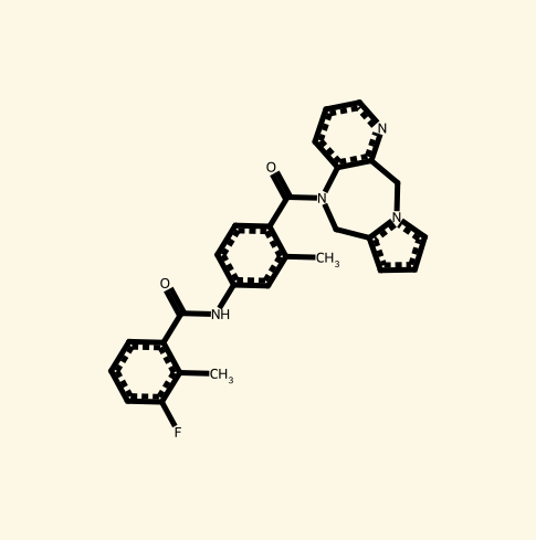 Cc1cc(NC(=O)c2cccc(F)c2C)ccc1C(=O)N1Cc2cccn2Cc2ncccc21